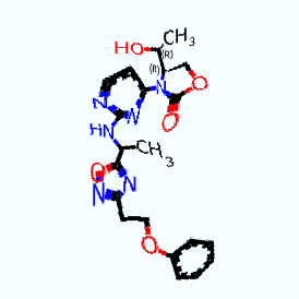 CC(Nc1nccc(N2C(=O)OC[C@@H]2[C@@H](C)O)n1)c1nc(CCOc2ccccc2)no1